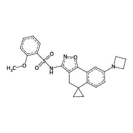 COc1ccccc1S(=O)(=O)Nc1noc2c1CC1(CC1)c1ccc(N3CCC3)cc1-2